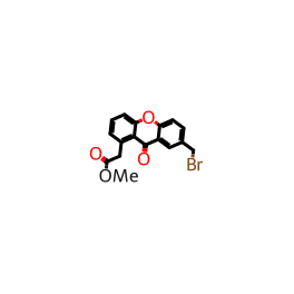 COC(=O)Cc1cccc2oc3ccc(CBr)cc3c(=O)c12